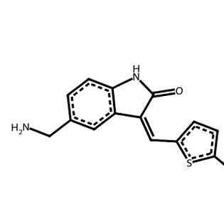 Cc1ccc(C=C2C(=O)Nc3ccc(CN)cc32)s1